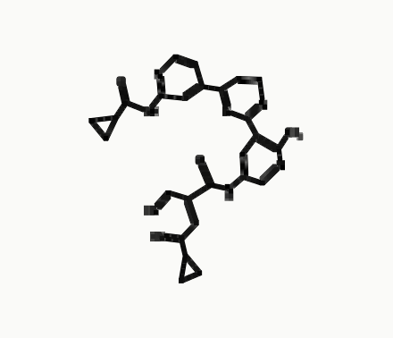 Cc1ncc(NC(=O)/C(C=N)=C/C(=N)C2CC2)cc1-c1nccc(-c2ccnc(NC(=O)C3CC3)c2)n1